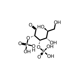 O=C[C@@H](OP(=O)(O)O)[C@@H](OP(=O)(O)O)[C@@H](O)[C@@H](O)CO